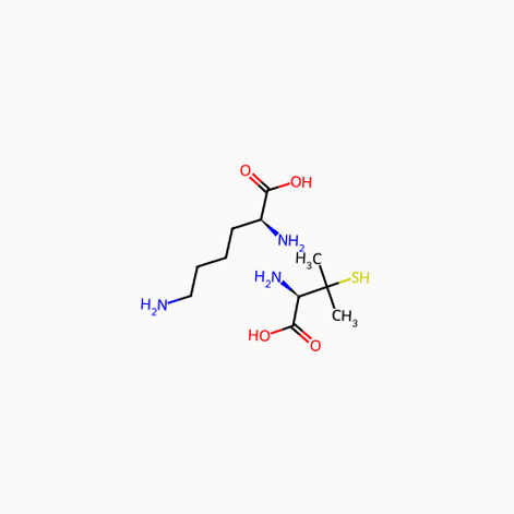 CC(C)(S)[C@H](N)C(=O)O.NCCCC[C@H](N)C(=O)O